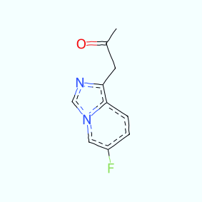 CC(=O)Cc1ncn2cc(F)ccc12